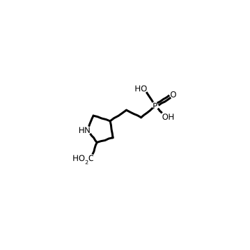 O=C(O)C1CC(CCP(=O)(O)O)CN1